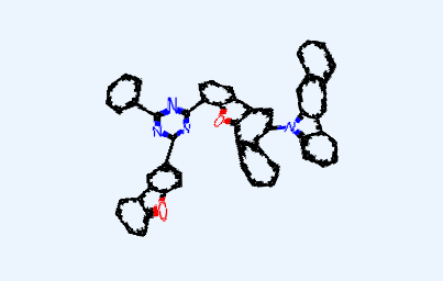 c1ccc(-c2nc(-c3ccc4oc5ccccc5c4c3)nc(-c3cccc4c3oc3c5ccccc5c(-n5c6ccccc6c6cc7ccccc7cc65)cc43)n2)cc1